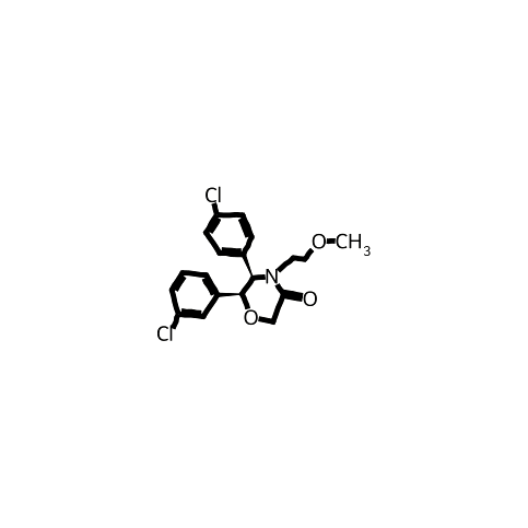 COCCN1C(=O)CO[C@@H](c2cccc(Cl)c2)[C@H]1c1ccc(Cl)cc1